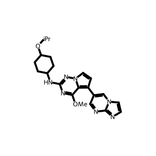 COc1nc(NC2CCC(OC(C)C)CC2)nn2ccc(-c3cnc4nccn4c3)c12